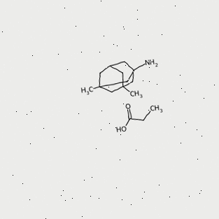 CC12CC3CC(C)(C1)CC(N)(C3)C2.CCC(=O)O